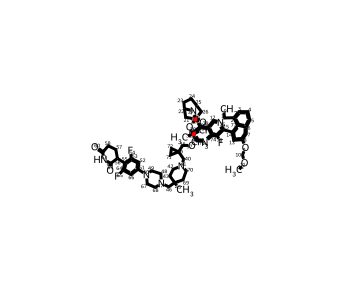 CCc1cccc2cc(OCOC)cc(-c3ncc4c(N5CC6CCC(C5)N6C(=O)OC(C)(C)C)nc(OCC5(CN6CCC(C)(CN7CCN(c8cc(F)c(C9CCC(=O)NC9=O)c(F)c8)CC7)CC6)CC5)nc4c3F)c12